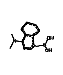 CN(C)c1ccc(B(O)O)c2ccccc12